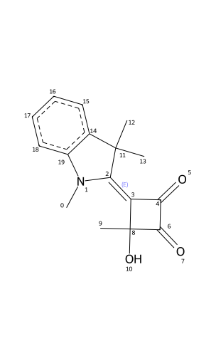 CN1/C(=C2/C(=O)C(=O)C2(C)O)C(C)(C)c2ccccc21